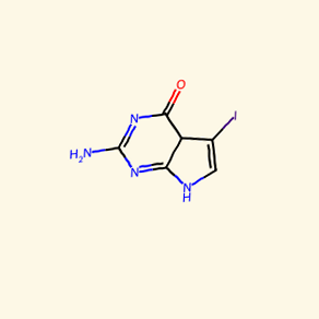 NC1=NC(=O)C2C(I)=CNC2=N1